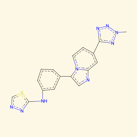 Cn1nnc(-c2ccn3c(-c4cccc(Nc5nncs5)c4)cnc3c2)n1